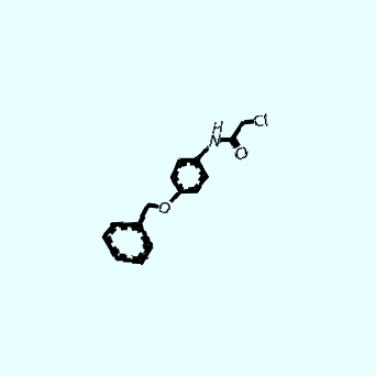 O=C(CCl)Nc1ccc(OCc2ccccc2)cc1